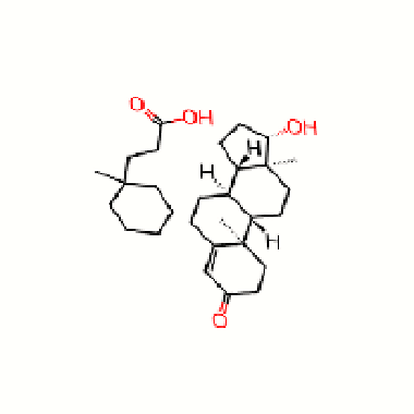 CC1(CCC(=O)O)CCCCC1.C[C@]12CC[C@H]3[C@@H](CCC4=CC(=O)CC[C@@]43C)[C@@H]1CC[C@@H]2O